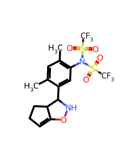 Cc1cc(C)c(N(S(=O)(=O)C(F)(F)F)S(=O)(=O)C(F)(F)F)cc1C1NOC2=CCCC21